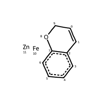 C1=Cc2ccccc2OC1.[Fe].[Zn]